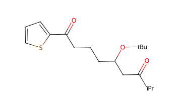 CC(C)C(=O)CC(CCCC(=O)c1cccs1)OC(C)(C)C